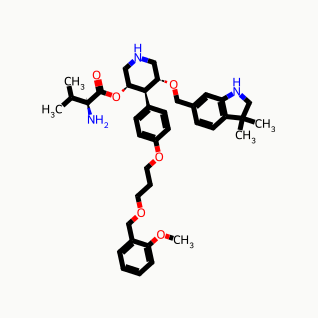 COc1ccccc1COCCCOc1ccc([C@@H]2[C@@H](OCc3ccc4c(c3)NCC4(C)C)CNC[C@H]2OC(=O)[C@@H](N)C(C)C)cc1